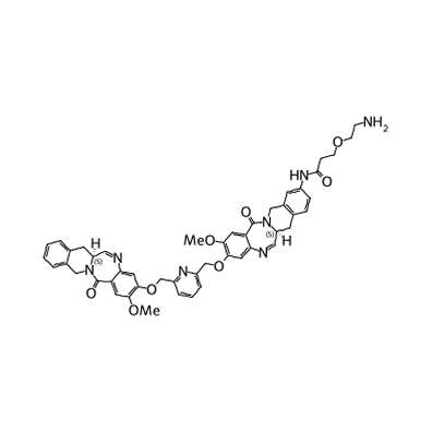 COc1cc2c(cc1OCc1cccc(COc3cc4c(cc3OC)C(=O)N3Cc5cc(NC(=O)CCOCCN)ccc5C[C@H]3C=N4)n1)N=C[C@@H]1Cc3ccccc3CN1C2=O